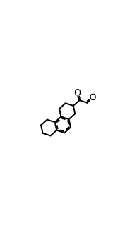 O=CC(=O)C1CCc2c(ccc3c2CCCC3)C1